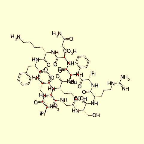 CC[C@H](C)[C@H](NC(=O)[C@@H](NC(=O)[C@H](CCCNC(=N)N)NC(=O)[C@H](CO)NC(=O)CNC(=O)[C@H](Cc1ccccc1)NC(=O)[C@@H](N)C(C)C)C(C)C)C(=O)N[C@@H](CCC(N)=O)C(=O)N[C@@H](CCCCN)C(=O)N[C@@H](Cc1ccccc1)C(=O)N[C@@H](Cc1ccccc1)C(=O)N[C@@H](CCC(=O)O)C(=O)N[C@@H](Cc1ccccc1)C(=O)NCC(=O)O